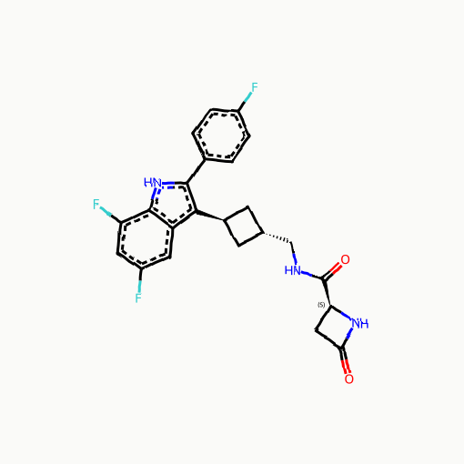 O=C1C[C@@H](C(=O)NC[C@H]2C[C@H](c3c(-c4ccc(F)cc4)[nH]c4c(F)cc(F)cc43)C2)N1